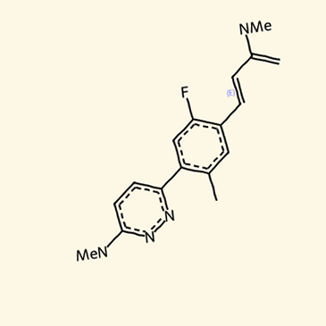 C=C(/C=C/c1cc(C)c(-c2ccc(NC)nn2)cc1F)NC